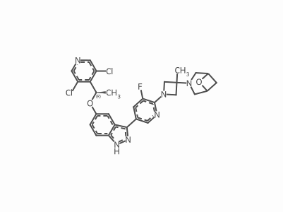 C[C@@H](Oc1ccc2[nH]nc(-c3cnc(N4CC(C)(N5CC6CC(C5)O6)C4)c(F)c3)c2c1)c1c(Cl)cncc1Cl